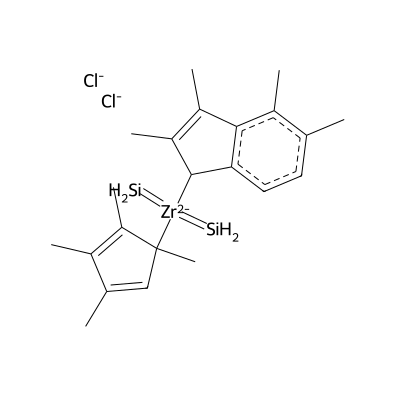 CC1=C[C](C)([Zr-2](=[SiH2])(=[SiH2])[CH]2C(C)=C(C)c3c2ccc(C)c3C)C(C)=C1C.[Cl-].[Cl-]